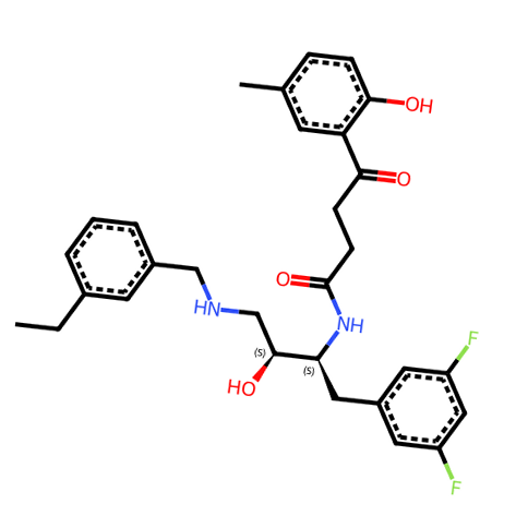 CCc1cccc(CNC[C@H](O)[C@H](Cc2cc(F)cc(F)c2)NC(=O)CCC(=O)c2cc(C)ccc2O)c1